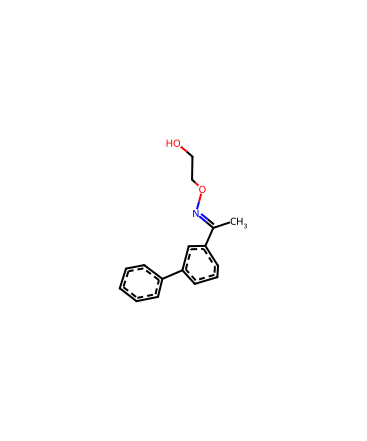 CC(=NOCCO)c1cccc(-c2ccccc2)c1